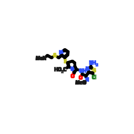 CNCCSCc1ncccc1SC1=C(C(=O)O)N2C(=O)C(NC(=O)/C(=N\OC)c3nc(N)sc3Cl)C2CC1